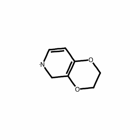 C1=CC2=C(C[N]1)OCCO2